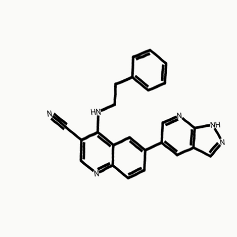 N#Cc1cnc2ccc(-c3cnc4[nH]ncc4c3)cc2c1NCCc1ccccc1